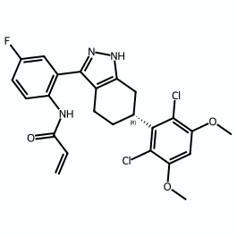 C=CC(=O)Nc1ccc(F)cc1-c1n[nH]c2c1CC[C@@H](c1c(Cl)c(OC)cc(OC)c1Cl)C2